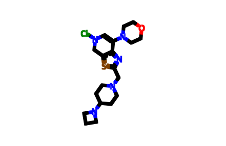 ClN1C=C(N2CCOCC2)c2nc(CN3CCC(N4CCC4)CC3)sc2C1